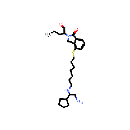 CCCC(C=O)N1Cc2c(SCCCCCCCNC(CN)C3CCCC3)cccc2C1=O